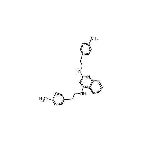 Cc1ccc(CCNc2nc(NCCc3ccc(C)cc3)c3ccccc3n2)cc1